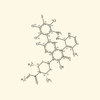 C=CC(=O)N1[C@H](C)CN(c2c(C#N)c(=O)n(C3=C(C)C=CNC3C(C)C)c3nc(-c4c(N)c(Cl)c(F)c(Cl)c4Cl)c(Cl)cc23)C[C@@H]1C